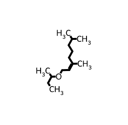 CCC(C)OCC=C(C)CCCC(C)C